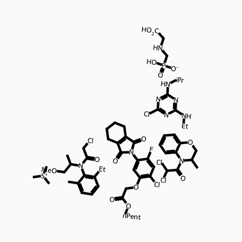 CC1COc2ccccc2N1C(=O)C(Cl)Cl.CCCCCOC(=O)COc1cc(N2C(=O)C3=C(CCCC3)C2=O)c(F)cc1Cl.CCNc1nc(Cl)nc(NC(C)C)n1.CCc1cccc(C)c1N(C(=O)CCl)C(C)COC.C[S+](C)C.O=C(O)CNCP(=O)([O-])O